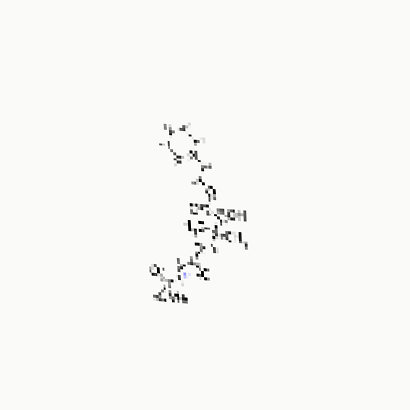 COC(=O)/C=C/C(=O)OCC(C)(C)[C@@H](O)C(=O)OCCN1CCCCC1